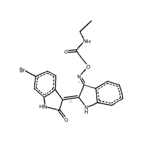 CCNC(=O)O/N=C1/C(=C2/C(=O)Nc3cc(Br)ccc32)Nc2ccccc21